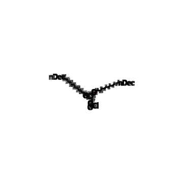 CCCCCCCCCCCCCCCCCCCCCCOc1cc(COC(=O)Cl)cc(OCCCCCCCCCCCCCCCCCCCCCC)c1